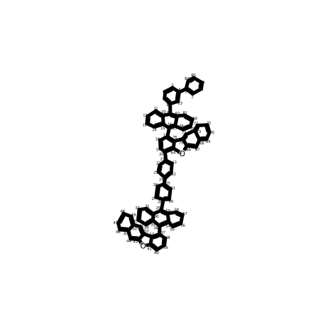 c1ccc(-c2cccc(-c3c4ccccc4c(-c4ccc(-c5ccc(-c6ccc(-c7c8ccccc8c(-c8cccc9oc%10cc%11ccccc%11cc%10c89)c8ccccc78)cc6)cc5)c5oc6cc7ccccc7cc6c45)c4ccccc34)c2)cc1